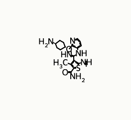 Cc1c(C(N)=O)sc(NI)c1C(=N)Nc1cccnc1O[C@H]1CC[C@H](N)CC1